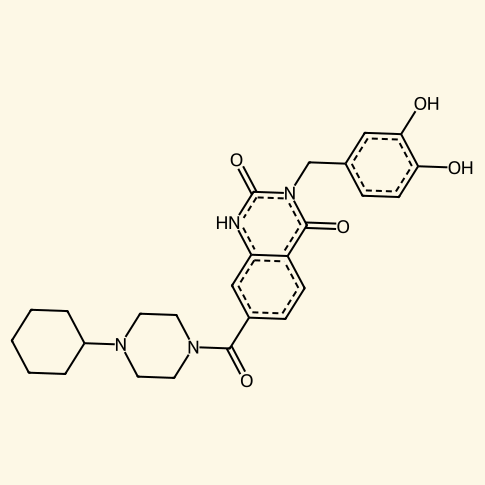 O=C(c1ccc2c(=O)n(Cc3ccc(O)c(O)c3)c(=O)[nH]c2c1)N1CCN(C2CCCCC2)CC1